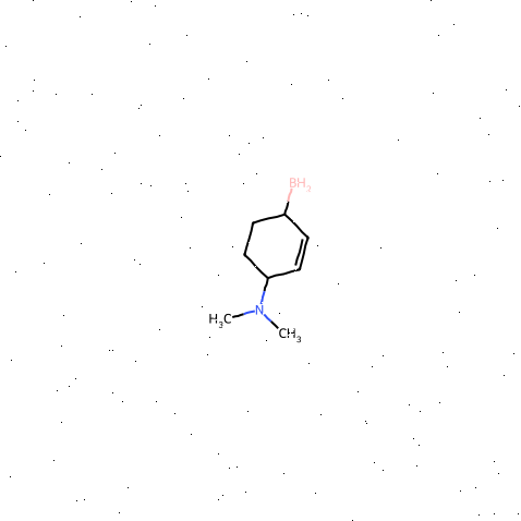 BC1C=CC(N(C)C)CC1